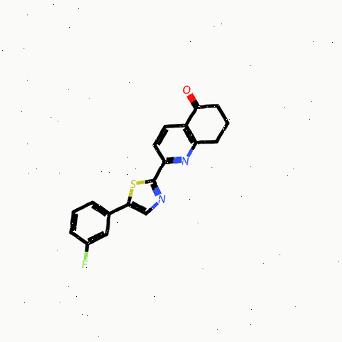 O=C1CCCc2nc(-c3ncc(-c4cccc(F)c4)s3)ccc21